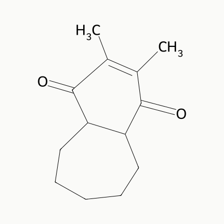 CC1=C(C)C(=O)C2CCCCCC2C1=O